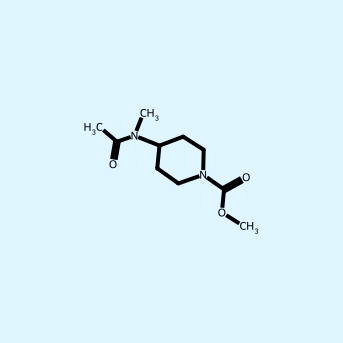 COC(=O)N1CCC(N(C)C(C)=O)CC1